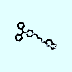 c1ccc(C(c2ccccc2)N2CCN(CCCOc3ccc4nncn4n3)CC2)cc1